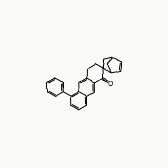 O=C1c2cc3cccc(-c4ccccc4)c3cc2CCC12CC1C=CC2C1